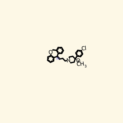 COC1(c2ccc(Cl)cc2)CCN(CC/C=C2\c3ccccc3COc3ccccc32)CC1